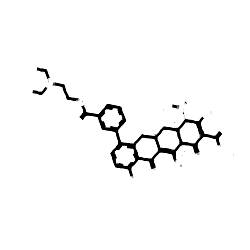 CCN(CC)CCNC(=O)c1cccc(-c2ccc(O)c3c2C[C@H]2C[C@H]4[C@@H](N(C)C)C(O)=C(C(C)=O)C(=O)[C@@]4(O)C(O)=C2C3=O)c1